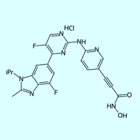 Cc1nc2c(F)cc(-c3nc(Nc4ccc(C#CC(=O)NO)cn4)ncc3F)cc2n1C(C)C.Cl